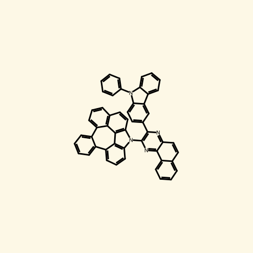 c1ccc(-n2c3ccccc3c3cc(-c4nc5ccc6ccccc6c5nc4-n4c5cccc6c5c5c7c(cccc7ccc54)-c4ccccc4-6)ccc32)cc1